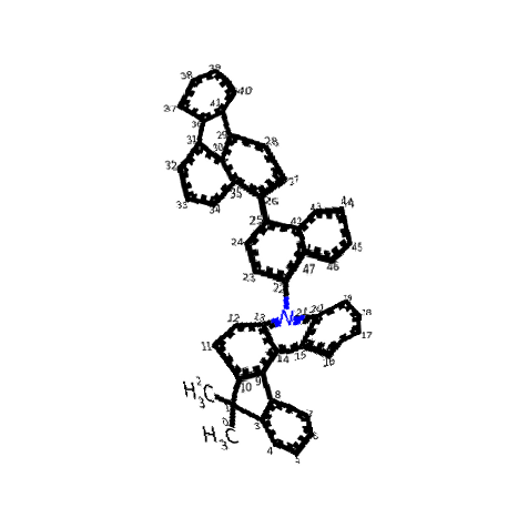 CC1(C)c2ccccc2-c2c1ccc1c2c2ccccc2n1-c1ccc(-c2ccc3c4c(cccc24)-c2ccccc2-3)c2ccccc12